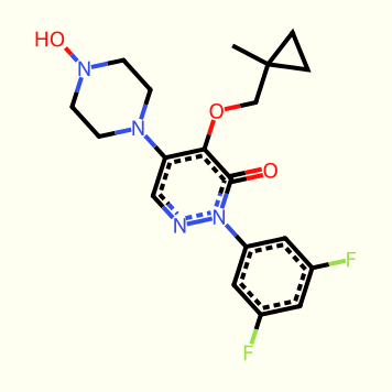 CC1(COc2c(N3CCN(O)CC3)cnn(-c3cc(F)cc(F)c3)c2=O)CC1